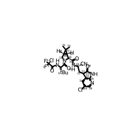 CC(C)(C)C(NC(=O)C(F)(F)Cl)C(=O)N1C[C@H]2[C@@H]([C@H]1C(=O)N[C@H](C#N)CC1C(=O)Nc3ncc(Cl)cc31)C2(C)C